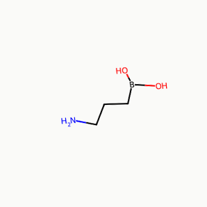 NCCCB(O)O